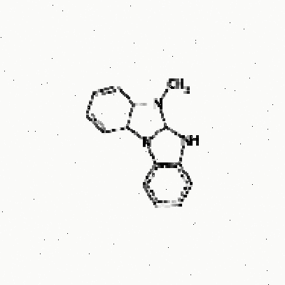 CN1C2C=CC=CC2N2c3ccccc3NC12